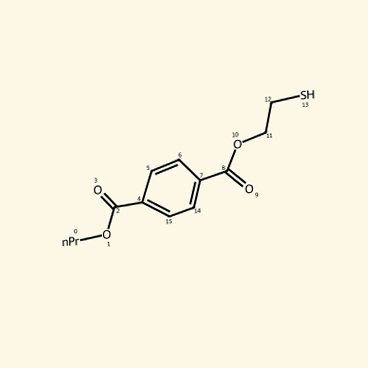 CCCOC(=O)c1ccc(C(=O)OCCS)cc1